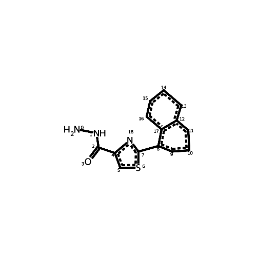 NNC(=O)c1csc(-c2cccc3ccccc23)n1